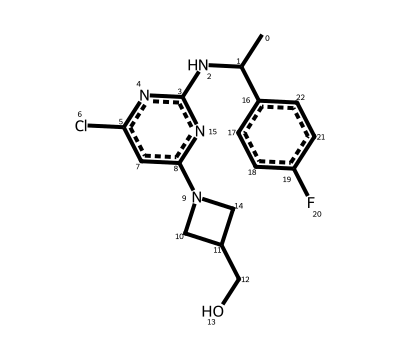 CC(Nc1nc(Cl)cc(N2CC(CO)C2)n1)c1ccc(F)cc1